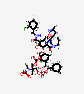 CC1=NO[C@@]2(CC[C@H](C)N3C[C@H]2n2cc(C(=O)NCc4ccc(F)cc4F)c(=O)c(OCOC(=O)OCC4(COP(=O)(OCc5ccccc5)OCc5ccccc5)COC(=O)N4C)c2C3=O)C1